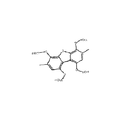 CCCCCCCCOc1c(C)cc(OCCCCCCCC)c2c1sc1c(OCCCCCCCC)c(C)cc(OCCCCCCCC)c12